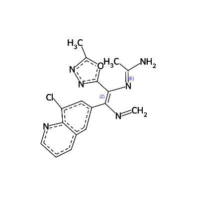 C=N/C(=C(\N=C(/C)N)c1nnc(C)o1)c1cc(Cl)c2ncccc2c1